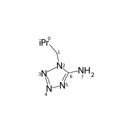 CC(C)Cn1nnnc1N